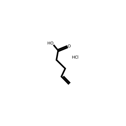 C=CCCC(=O)O.Cl